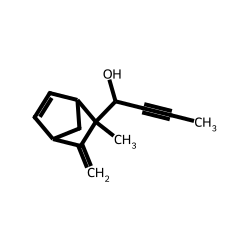 C=C1C2C=CC(C2)C1(C)C(O)C#CC